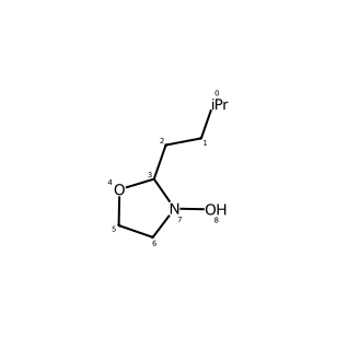 CC(C)CCC1OCCN1O